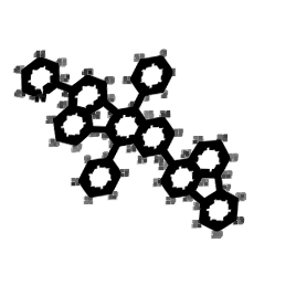 c1ccc(-c2c3c(c(-c4ccccc4)c4cc(-c5ccc6c7c(cccc57)-c5ccccc5-6)ccc24)-c2cccc4c(-c5ccccn5)ccc-3c24)cc1